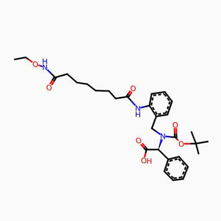 CCONC(=O)CCCCCCC(=O)Nc1ccccc1CN(C(=O)OC(C)(C)C)[C@H](C(=O)O)c1ccccc1